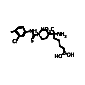 Cc1ccc(NC(=S)N2CCC(C(N)(CCCCB(O)O)C(=O)O)CC2)cc1Cl